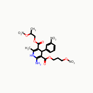 CC1=C(C(=O)OCC(C)O[N+](=O)[O-])C(c2cccc([N+](=O)[O-])c2)C(C(=O)OCCCO[N+](=O)[O-])=C(N)N1